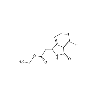 CCOC(=O)CC1NC(=O)c2c(Cl)cccc21